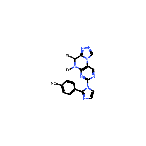 CCC1c2nncn2-c2cnc(-n3ccnc3-c3ccc(C#N)cc3)nc2N1C(C)C